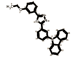 CCOc1cccc(-c2nnc(-c3cccc(-n4c5ccccc5c5ccccc54)c3)o2)c1